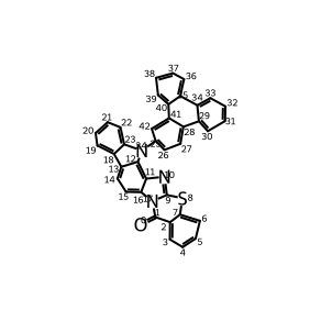 O=c1c2ccccc2sc2nc3c4c(ccc3n12)c1ccccc1n4-c1ccc2c3ccccc3c3ccccc3c2c1